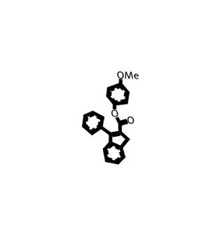 COc1ccc(OC(=O)C2=C(c3ccccc3)c3ccccc3C2)cc1